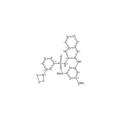 COc1cc(Nc2nc3ccccc3nc2NS(=O)(=O)c2cccc(N3CCC3)c2)cc(OC)c1